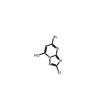 CCc1nc2nc(C(C)C)cc(O)n2n1